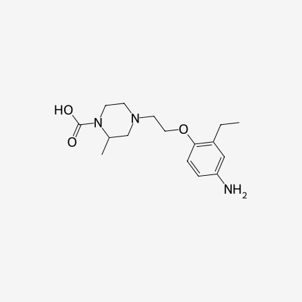 CCc1cc(N)ccc1OCCN1CCN(C(=O)O)C(C)C1